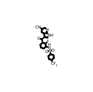 [C-]#[N+]c1cnc2[nH]cc(C(=O)c3cccc(NS(=O)(=O)c4ccc(C(F)(F)F)cc4)c3F)c2c1